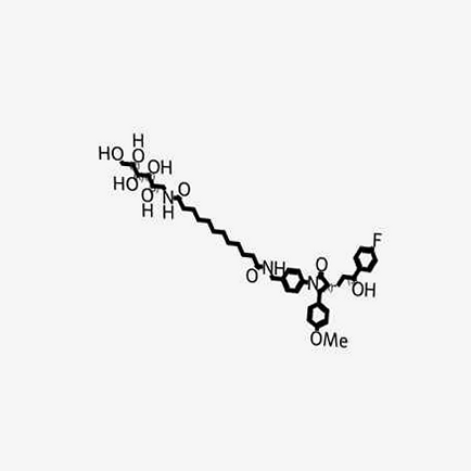 COc1ccc(C2[C@@H](CC[C@H](O)c3ccc(F)cc3)C(=O)N2c2ccc(CNC(=O)CCCCCCCCCCC(=O)NC[C@H](O)[C@@H](O)[C@H](O)[C@H](O)CO)cc2)cc1